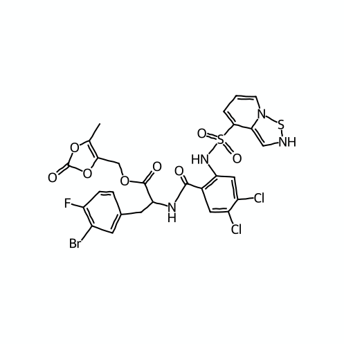 Cc1oc(=O)oc1COC(=O)C(Cc1ccc(F)c(Br)c1)NC(=O)c1cc(Cl)c(Cl)cc1NS(=O)(=O)C1=CC=CN2SNC=C12